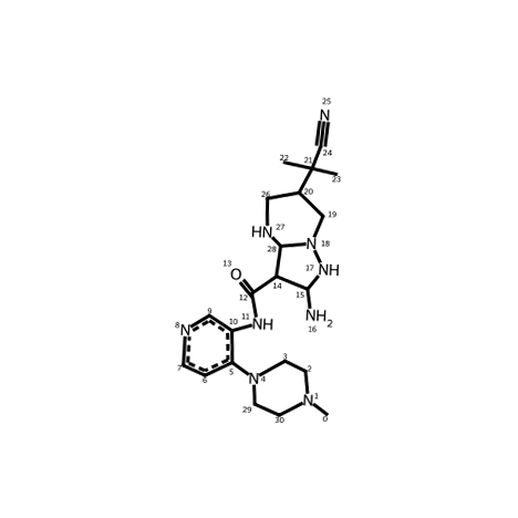 CN1CCN(c2ccncc2NC(=O)C2C(N)NN3CC(C(C)(C)C#N)CNC23)CC1